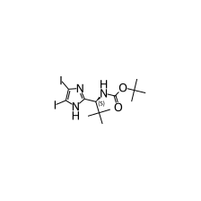 CC(C)(C)OC(=O)N[C@H](c1nc(I)c(I)[nH]1)C(C)(C)C